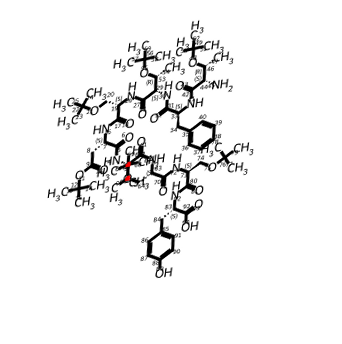 CC(C)[C@H](NC(=O)[C@H](CC(=O)OC(C)(C)C)NC(=O)[C@H](COC(C)(C)C)NC(=O)[C@@H](NC(=O)[C@H](Cc1ccccc1)NC(=O)[C@@H](N)[C@@H](C)OC(C)(C)C)[C@@H](C)OC(C)(C)C)C(=O)N[C@@H](COC(C)(C)C)C(=O)N[C@@H](COC(C)(C)C)C(=O)N[C@@H](Cc1ccc(O)cc1)C(=O)O